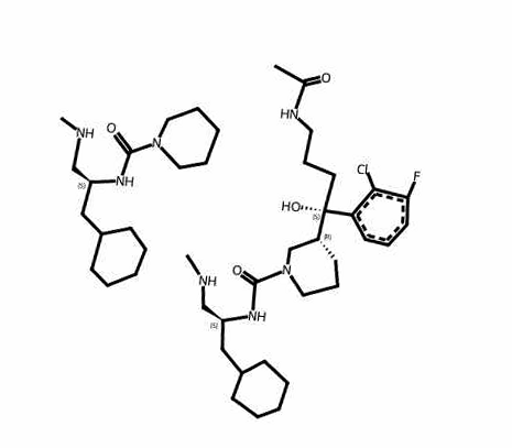 CNC[C@H](CC1CCCCC1)NC(=O)N1CCCCC1.CNC[C@H](CC1CCCCC1)NC(=O)N1CCC[C@@H]([C@@](O)(CCCNC(C)=O)c2cccc(F)c2Cl)C1